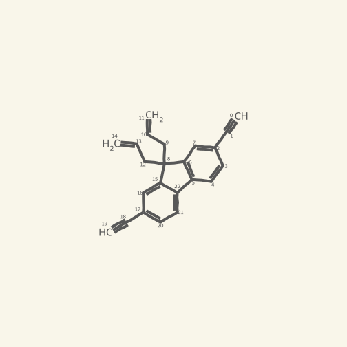 C#Cc1ccc2c(c1)C(CC=C)(CC=C)c1cc(C#C)ccc1-2